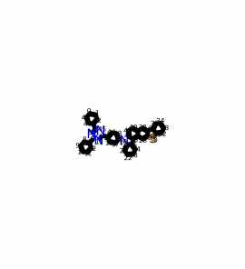 c1ccc(-c2nc(-c3ccccc3)nc(-c3ccc(-n4c5ccccc5c5c6cc7sc8ccccc8c7cc6ccc54)cc3)n2)cc1